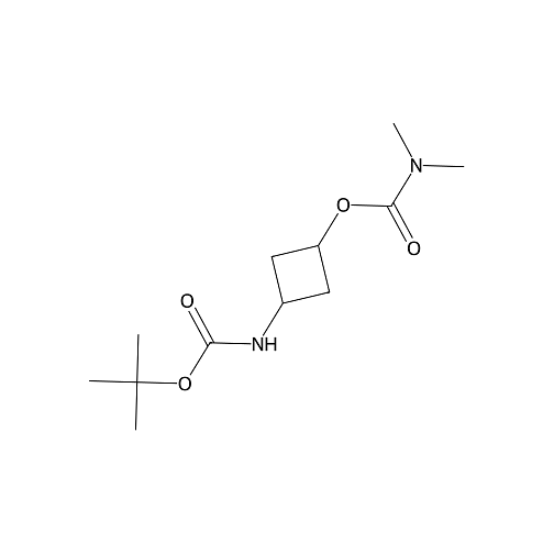 CN(C)C(=O)OC1CC(NC(=O)OC(C)(C)C)C1